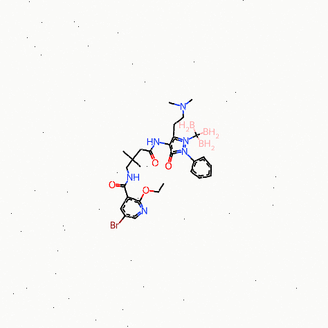 BC(B)(B)n1c(CCN(C)C)c(NC(=O)CC(C)(C)CNC(=O)c2cc(Br)cnc2OCC)c(=O)n1-c1ccccc1